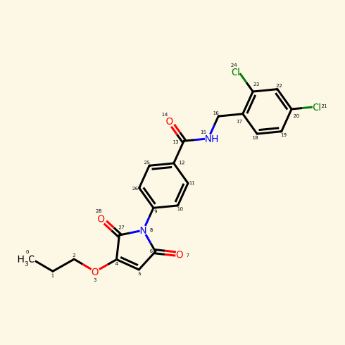 CCCOC1=CC(=O)N(c2ccc(C(=O)NCc3ccc(Cl)cc3Cl)cc2)C1=O